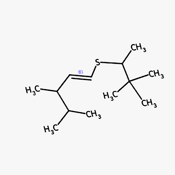 CC(C)C(C)/C=C/SC(C)C(C)(C)C